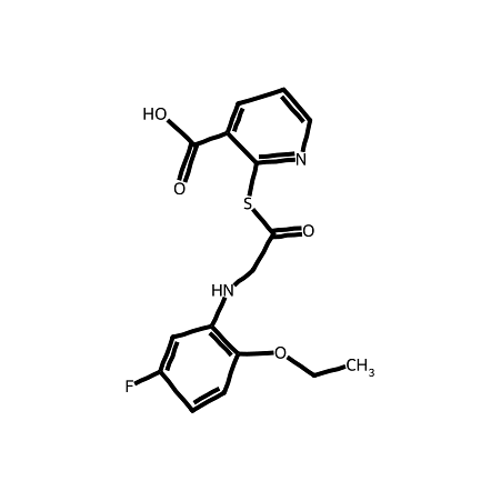 CCOc1ccc(F)cc1NCC(=O)Sc1ncccc1C(=O)O